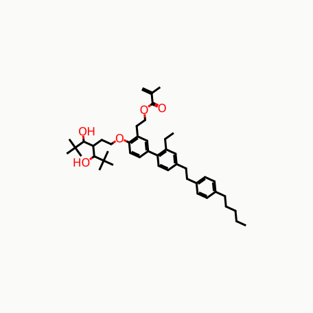 C=C(C)C(=O)OCCc1cc(-c2ccc(CCc3ccc(CCCCC)cc3)cc2CC)ccc1OCCC(C(O)C(C)(C)C)C(O)C(C)(C)C